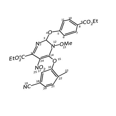 CCOC(=O)C1=NC(Oc2ccc(C(=O)OCC)cc2)N(OC)C(Oc2cc(C#N)ccc2C)=C1[N+](=O)[O-]